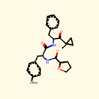 COc1ccc(CC(NC(=O)C2CCCO2)C(=O)NC(Cc2ccccc2)C(=O)C2(C)CC2)cc1